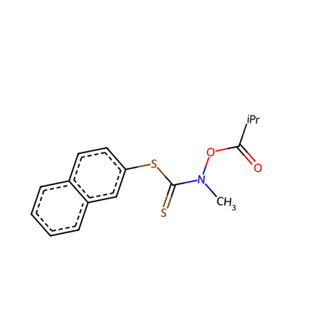 CC(C)C(=O)ON(C)C(=S)Sc1ccc2ccccc2c1